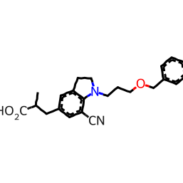 CC(Cc1cc(C#N)c2c(c1)CCN2CCCOCc1ccccc1)C(=O)O